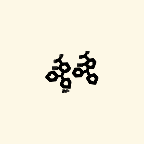 O=C([O-])c1cccc(C(c2ccccc2)c2ccccc2)c1O.O=C([O-])c1cccc(C(c2ccccc2)c2ccccc2)c1O.[Zn+2]